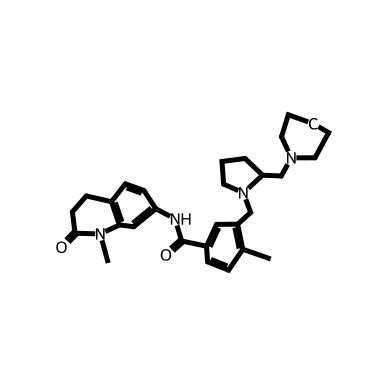 Cc1ccc(C(=O)Nc2ccc3c(c2)N(C)C(=O)CC3)cc1CN1CCCC1CN1CCCCC1